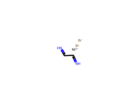 N=CC=N.[Br-].[Br-].[Ni+2]